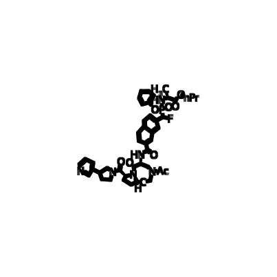 CCCOC(=O)[C@H](C)NP(=O)(Oc1ccccc1)C(F)c1ccc2ccc(C(=O)N[C@H]3CN(C(C)=O)CC[C@H]4CC[C@@H](C(=O)N5CCC(c6cccnc6)C5)N4C3=O)cc2c1